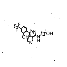 C[C@]1(O)C[C@H](Nc2nnc(-c3ccc(C(F)(F)F)cc3O)c3ccncc23)C1